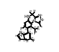 Cc1nnc2n1-c1c(cc(F)c(-c3cc(F)cc4cc[nH]c34)c1C(F)F)NC2(C)C